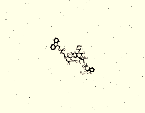 C=CCOC(=O)CN(CCNC(=O)OCC1c2ccccc2-c2ccccc21)C(=O)Cn1cc(C#CCCOP2(=O)Oc3ccccc3C(C)(C)O2)c(N(C(=O)OC(C)(C)C)C(=O)OC(C)(C)C)nc1=O